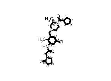 Cc1c(CN2CCN(C(=O)C3CCCC3)[C@@H](C)C2)cc(Cl)cc1NC(=O)CN1CCCC1=O